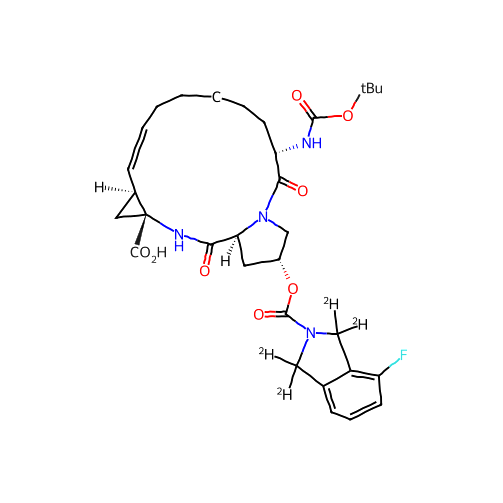 [2H]C1([2H])c2cccc(F)c2C([2H])([2H])N1C(=O)O[C@@H]1C[C@H]2C(=O)N[C@]3(C(=O)O)C[C@H]3/C=C\CCCCC[C@H](NC(=O)OC(C)(C)C)C(=O)N2C1